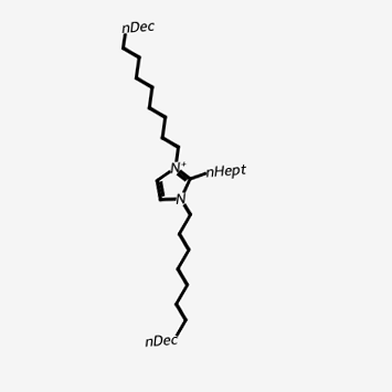 CCCCCCCCCCCCCCCCCC[n+]1ccn(CCCCCCCCCCCCCCCCC)c1CCCCCCC